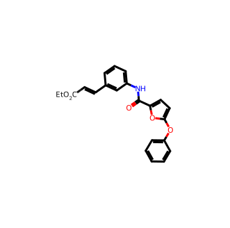 CCOC(=O)/C=C/c1cccc(NC(=O)c2ccc(Oc3ccccc3)o2)c1